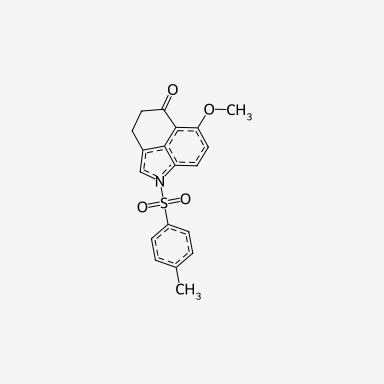 COc1ccc2c3c(cn2S(=O)(=O)c2ccc(C)cc2)CCC(=O)c13